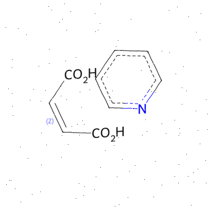 O=C(O)/C=C\C(=O)O.c1ccncc1